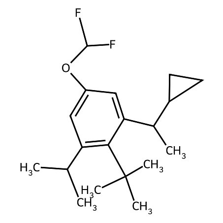 CC(C)c1cc(OC(F)F)cc(C(C)C2CC2)c1C(C)(C)C